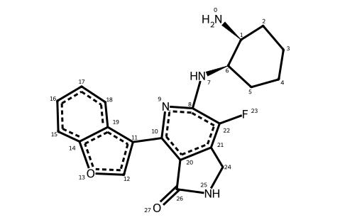 N[C@H]1CCCC[C@H]1Nc1nc(-c2coc3ccccc23)c2c(c1F)CNC2=O